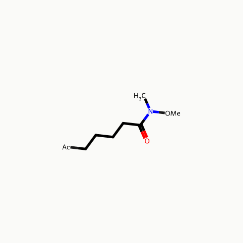 CON(C)C(=O)CCCCC(C)=O